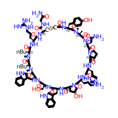 CCCC[C@H]1C(=O)N(C)[C@@H](CCCC)C(=O)N[C@@H](CCCNC(=N)N)C(=O)N[C@H](C(=O)NCC(N)=O)CSCC(=O)N[C@@H](Cc2ccc(O)cc2)C(=O)N(C)[C@@H](C)C(=O)N[C@@H](CC(N)=O)C(=O)N2CCC[C@H]2C(=O)N[C@@H](Cc2cnc[nH]2)C(=O)N[C@@H](CCCN)C(=O)N2C[C@H](O)C[C@H]2C(=O)N[C@@H](Cc2c[nH]c3ccccc23)C(=O)N[C@@H](CO)C(=O)N[C@@H](Cc2c[nH]c3ccccc23)C(=O)N1C